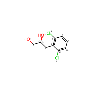 OC[C@@H](O)Cc1c(Cl)cccc1Cl